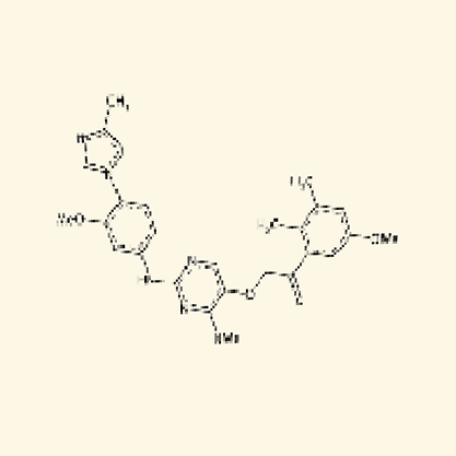 CNc1nc(Nc2ccc(-n3cnc(C)c3)c(OC)c2)ncc1OCC(=O)c1cc(OC)cc(C)c1C